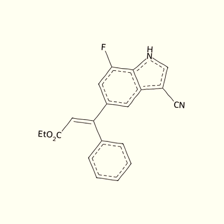 CCOC(=O)/C=C(\c1ccccc1)c1cc(F)c2[nH]cc(C#N)c2c1